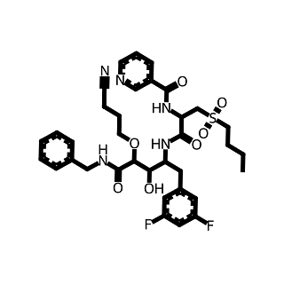 CCCCS(=O)(=O)CC(NC(=O)c1cccnc1)C(=O)NC(Cc1cc(F)cc(F)c1)C(O)C(OCCCC#N)C(=O)NCc1ccccc1